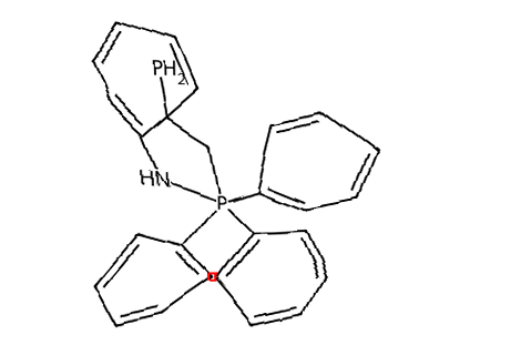 PCCP(Nc1ccccc1)(c1ccccc1)(c1ccccc1)c1ccccc1